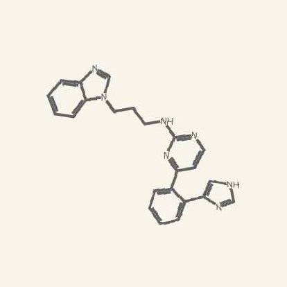 c1ccc(-c2ccnc(NCCCn3cnc4ccccc43)n2)c(-c2c[nH]cn2)c1